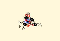 COc1ccccc1NC(=O)C(Oc1ccc(C(=O)OC(C)C)cc1)C1=Nc2c(C)cc(C)cc2S(=O)(=O)N1CCCOc1ccc(C)cc1C